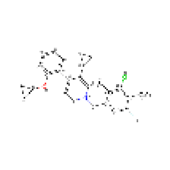 COc1c(F)cc(CN2C=C(C3CC3)C(c3ccccc3OC3CC3)=CC2)c(C)c1Cl